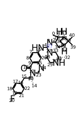 C[C@@H]1C(/N=C(/Nc2ccc3c(=O)n([C@H](C)Cc4ccc(F)cc4)cnc3c2)N2CCN[C@@H](C)C2)C[C@H]2C[C@@H]1C2(C)C